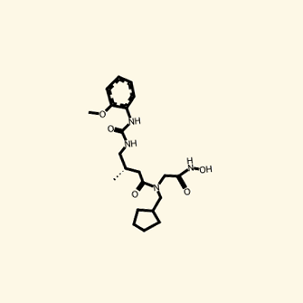 COc1ccccc1NC(=O)NC[C@@H](C)CC(=O)N(CC(=O)NO)CC1CCCC1